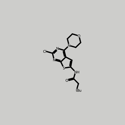 CC(C)(C)CC(=O)Nc1cc2c(N3CCOCC3)nc(Cl)nc2s1